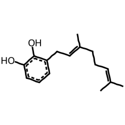 CC(C)=CCC/C(C)=C/Cc1cccc(O)c1O